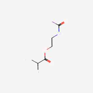 CCCC(C(=O)OCCNC(=O)I)C(C)C